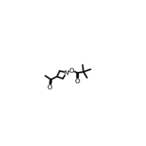 CC(=O)C1CN(OC(=O)C(C)(C)C)C1